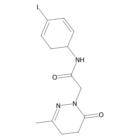 CC1=NN(CC(=O)NC2C=CC(I)=CC2)C(=O)CC1